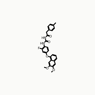 COc1cc2cccc(Oc3ccc(NC(=O)NC(=O)Cc4ccc(C)cc4)c(F)c3)c2cc1OC